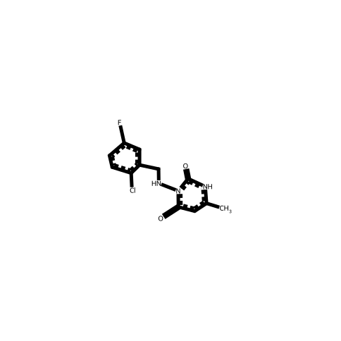 Cc1cc(=O)n(NCc2cc(F)ccc2Cl)c(=O)[nH]1